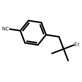 CCC(C)(C)Cc1ccc(C#N)cc1